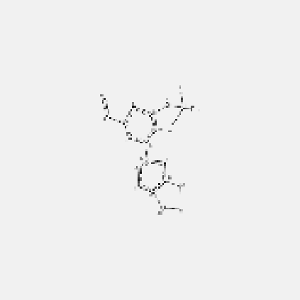 O=Cc1cc(OC(F)(F)F)cc(-c2ccc3c(c2)CCO3)c1